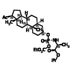 CCOC(=O)O[P@](=O)(N[C@@H](C)C(=O)OC(C)C)O[C@@H]1CC[C@@]2(C)[C@@H](CC[C@@H]3[C@@H]2CC[C@]2(C)[C@@H](C(C)=O)CC[C@@H]32)C1